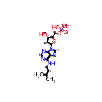 C=C(C)CCNc1ncnc2c1ncn2[C@H]1C[C@H](O)[C@@H](COP(=O)(O)O)O1